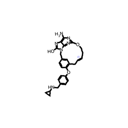 Nc1nc2nc3c1nc(O)n3Cc1ccc(Oc3ccc(CNC4CC4)cc3)c(c1)C/C=C/CCO2